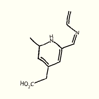 C=C/N=C\C1=CC(CC(=O)O)=CC(C)N1